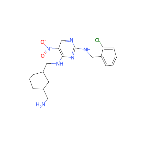 NCC1CCCC(CNc2nc(NCc3ccccc3Cl)ncc2[N+](=O)[O-])C1